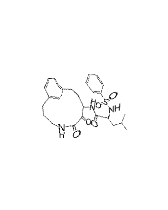 CC(C)CC(NS(=O)(=O)c1ccccc1)C(=O)NC1CCc2cccc(c2)CCCNC(=O)C1=O